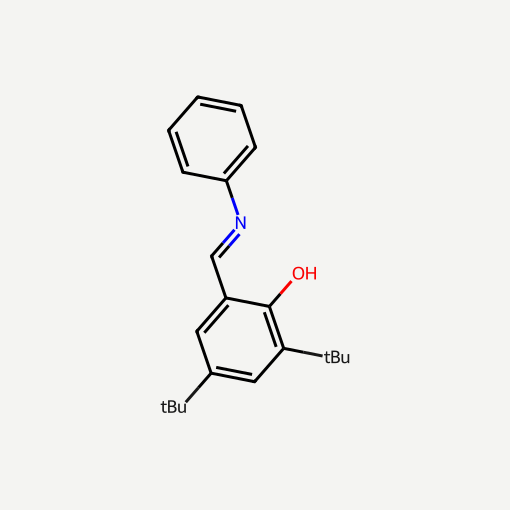 CC(C)(C)c1cc(/C=N/c2ccccc2)c(O)c(C(C)(C)C)c1